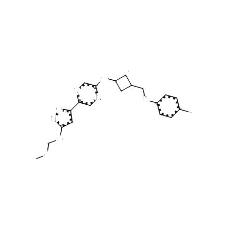 COCOc1cc(-c2cnc(OC3CC(COc4ccc(F)cc4)C3)cn2)on1